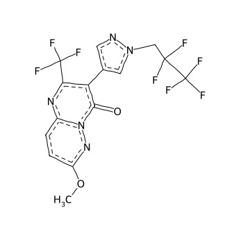 COc1ccc2nc(C(F)(F)F)c(-c3cnn(CC(F)(F)C(F)(F)F)c3)c(=O)n2n1